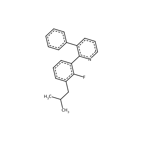 CC(C)Cc1cccc(-c2ncccc2-c2ccccc2)c1F